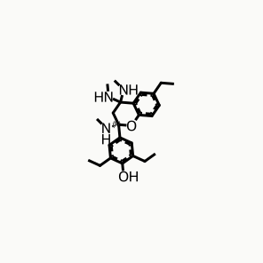 CCc1ccc2c(c1)C(NC)(NC)C[C@](NC)(c1cc(CC)c(O)c(CC)c1)O2